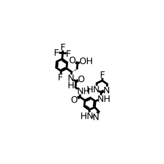 O=C(O)C[C@H](NC(=O)CNC(=O)c1cc(NC2=NCC(F)CN2)c2cn[nH]c2c1)c1cc(C(F)(F)F)ccc1F